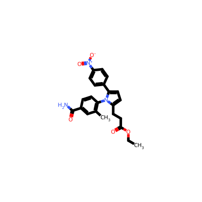 CCOC(=O)CCc1ccc(-c2ccc([N+](=O)[O-])cc2)n1-c1ccc(C(N)=O)cc1C